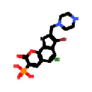 Cl.O=c1oc2c(ccc3c(Br)c(CN4CCNCC4)[se]c32)cc1P(=O)(O)O